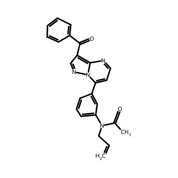 C=CCN(C(C)=O)c1cccc(-c2ccnc3c(C(=O)c4ccccc4)cnn23)c1